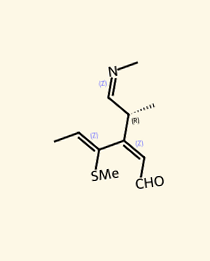 C/C=C(SC)/C(=C\C=O)[C@@H](C)/C=N\C